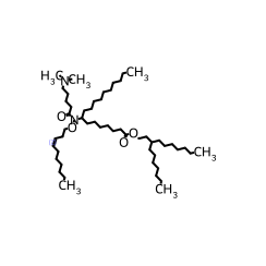 CCCCCC/C=C\CCON(C(=O)CCCCN(C)C)C(CCCCCCCCCC)CCCCCCC(=O)OCCC(CCCCCCC)CCCCCCC